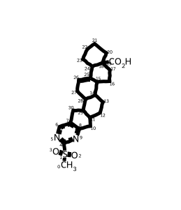 CS(=O)(=O)c1ncc2c(n1)CC1CCC3C4CCC5(C(=O)O)CCCCC5C4=CCC3C1C2